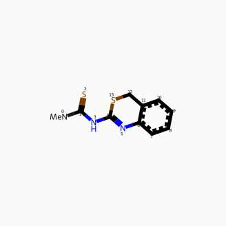 CNC(=S)NC1=Nc2ccccc2CS1